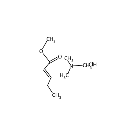 CCC=CC(=O)OC.CN(C)C.Cl